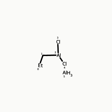 CC[CH2][Al]([Cl])[Cl].[AlH3]